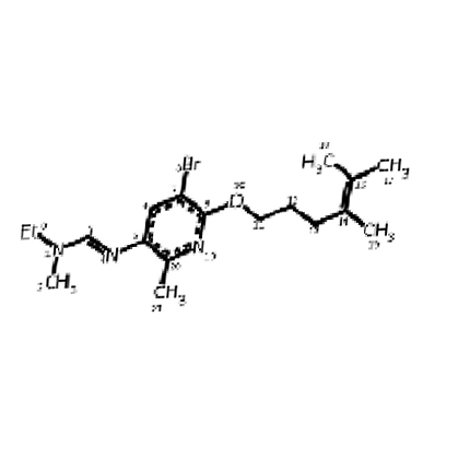 CCN(C)/C=N/c1cc(Br)c(OCCCC(C)=C(C)C)nc1C